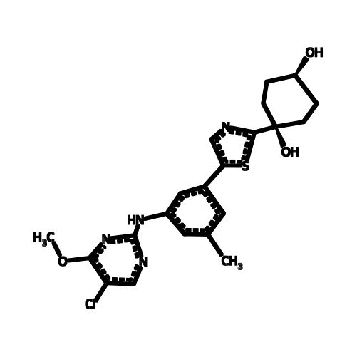 COc1nc(Nc2cc(C)cc(-c3cnc([C@]4(O)CC[C@@H](O)CC4)s3)c2)ncc1Cl